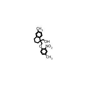 Cc1ccc2c(c1)CCCC2(CO)COc1ccc(C)cc1[N+](=O)[O-]